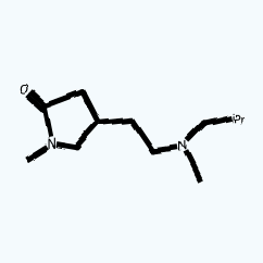 CC(C)CN(C)CCC1CC(=O)N(C)C1